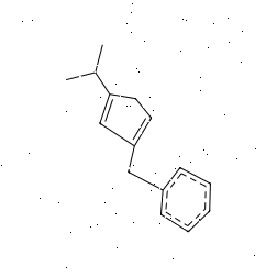 CC(C)C1=CC(Cc2ccccc2)=CC1